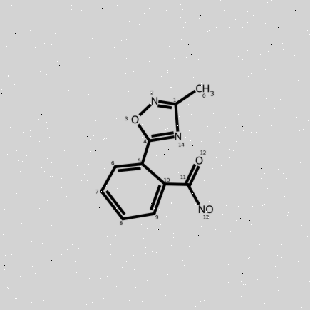 Cc1noc(-c2ccccc2C(=O)N=O)n1